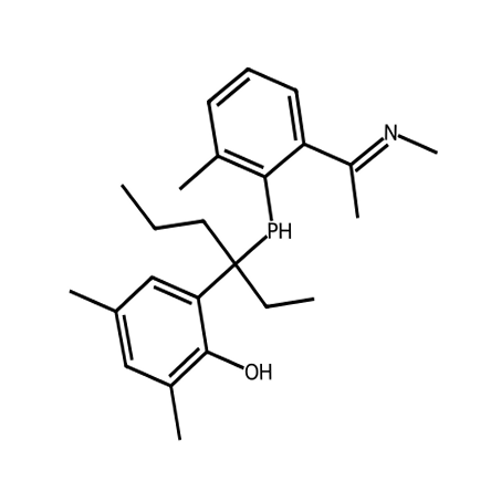 CCCC(CC)(Pc1c(C)cccc1/C(C)=N/C)c1cc(C)cc(C)c1O